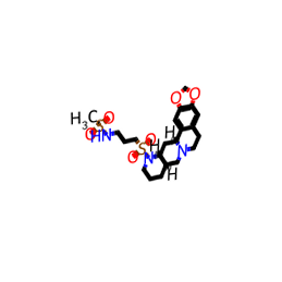 CS(=O)(=O)NCCCS(=O)(=O)N1CCC[C@H]2CN3CCc4cc5c(cc4[C@@H]3C[C@H]21)OCO5